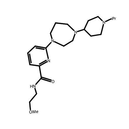 COCCNC(=O)c1cccc(N2CCCN(C3CCN(C(C)C)CC3)CC2)n1